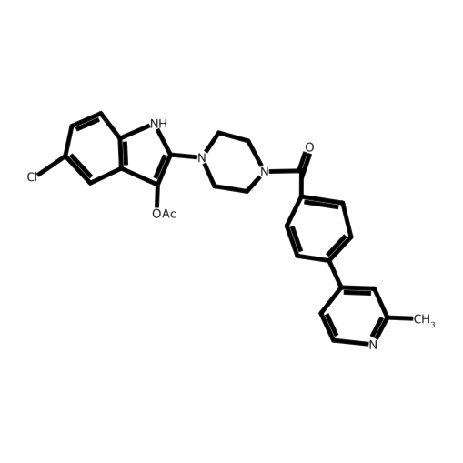 CC(=O)Oc1c(N2CCN(C(=O)c3ccc(-c4ccnc(C)c4)cc3)CC2)[nH]c2ccc(Cl)cc12